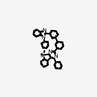 C[Si]1(C)c2ccccc2-c2c(-c3ccccc3)nc(-c3cccc(-c4cccc(-c5nc6ccccc6n5-c5ccccc5)c4)c3)nc21